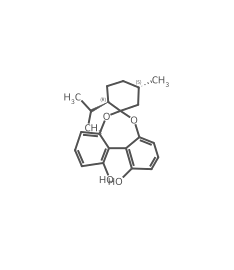 CC(C)[C@H]1CC[C@H](C)CC12Oc1cccc(O)c1-c1c(O)cccc1O2